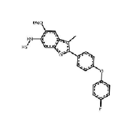 COc1cc2c(C)c(-c3ccc(Oc4ccc(F)cc4)cc3)oc2cc1NS